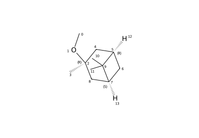 CO[C@@]1(C)C[C@H]2C[C@@H](C1)C2(C)C